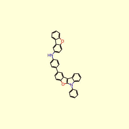 c1ccc(-n2c3ccccc3c3c4cc(-c5ccc(Nc6ccc7oc8ccccc8c7c6)cc5)ccc4oc32)cc1